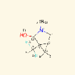 CC(C)(C)N1CC2C(C)(C)C2(C(C)(F)F)C1O